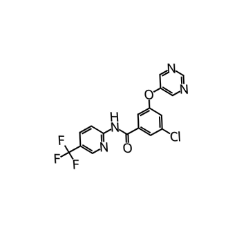 O=C(Nc1ccc(C(F)(F)F)cn1)c1cc(Cl)cc(Oc2cncnc2)c1